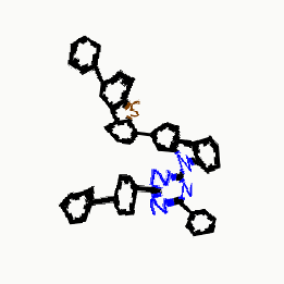 c1ccc(-c2ccc(-c3nc(-c4ccccc4)nc(-n4c5ccccc5c5ccc(-c6cccc7c6sc6ccc(-c8ccccc8)cc67)cc54)n3)cc2)cc1